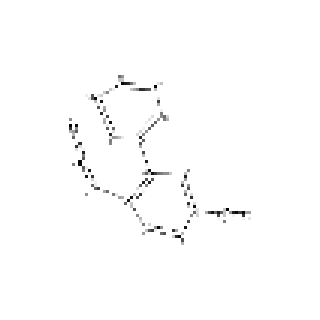 CCCCCc1ccc(N=C=O)c(-c2ccccc2)c1